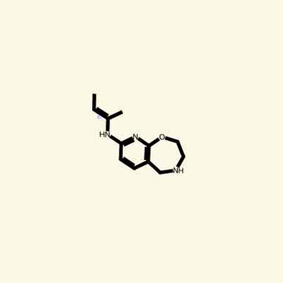 C/C=C(\C)Nc1ccc2c(n1)OCCNC2